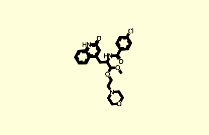 COC(OCCN1CCOCC1)C(Cc1cc(=O)[nH]c2ccccc12)NC(=O)c1ccc(Cl)cc1